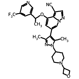 Cc1nn(C2CCN(C3COC3)CC2)c(C)c1-c1cc(OC(C)c2cncc(C(F)(F)F)c2)c2c(C#N)cnn2c1